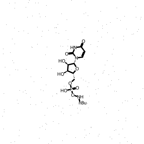 CCCCNOP(=O)(O)OC[C@H]1O[C@@H](n2ccc(=O)[nH]c2=O)[C@H](O)[C@@H]1O